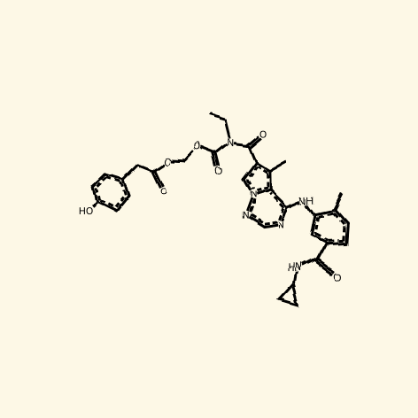 CCN(C(=O)OCOC(=O)Cc1ccc(O)cc1)C(=O)c1cn2ncnc(Nc3cc(C(=O)NC4CC4)ccc3C)c2c1C